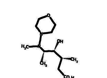 C[C@H](CC(=O)O)[C@@H](O)[C@H](C)N(C)N1CCOCC1